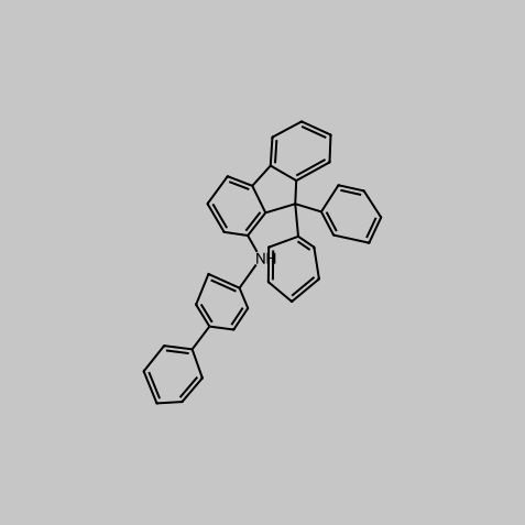 c1ccc(-c2ccc(Nc3cccc4c3C(c3ccccc3)(c3ccccc3)c3ccccc3-4)cc2)cc1